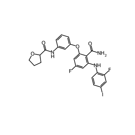 NC(=O)c1c(Nc2ccc(I)cc2F)cc(F)cc1Oc1cccc(NC(=O)C2CCCO2)c1